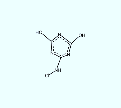 Oc1nc(O)nc(NCl)n1